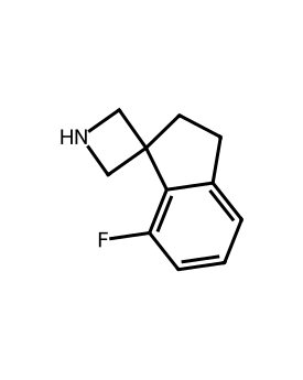 Fc1cccc2c1C1(CC2)CNC1